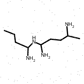 CCCC(N)NC(N)CCC(C)N